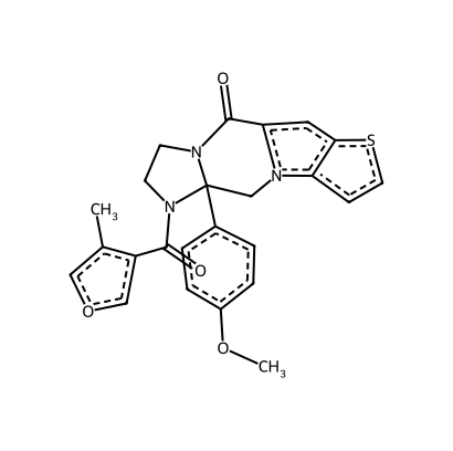 COc1ccc(C23Cn4c(cc5sccc54)C(=O)N2CCN3C(=O)c2cocc2C)cc1